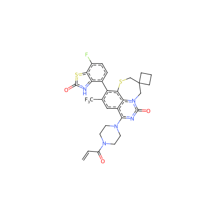 C=CC(=O)N1CCN(c2nc(=O)n3c4c(c(-c5ccc(F)c6sc(=O)[nH]c56)c(C(F)(F)F)cc24)SCC2(CCC2)C3)CC1